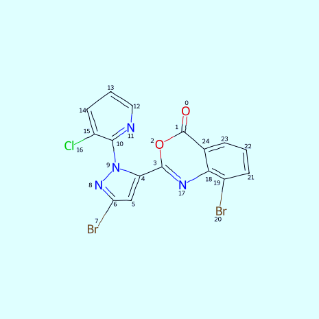 O=c1oc(-c2cc(Br)nn2-c2ncccc2Cl)nc2c(Br)cccc12